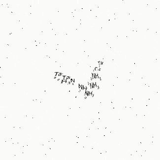 N.N.N.N.N.[Cu].[Ta].[Ta].[Ta]